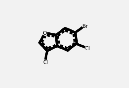 Clc1cc2c(Cl)coc2cc1Br